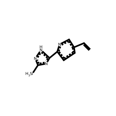 C=Cc1ccc(-c2nc([SiH3])n[nH]2)nc1